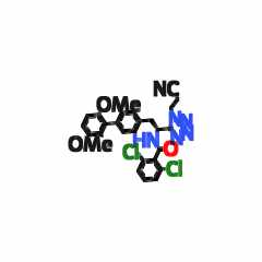 COc1cccc(OC)c1-c1ccc(C[C@H](NC(=O)c2c(Cl)cccc2Cl)c2nnnn2CCC#N)cc1